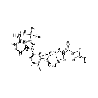 Cc1ccc(-c2cc(C(F)(F)F)c3c(N)ncnn23)cc1C(=O)N[C@@H]1CN(C(=O)C2CC(F)C2)C[C@@H]1F